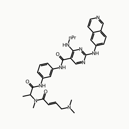 CCCNc1nc(Nc2ccc3cnccc3c2)ncc1C(=O)Nc1cccc(NC(=O)C(C)N(C)C(=O)C=CCN(C)C)c1